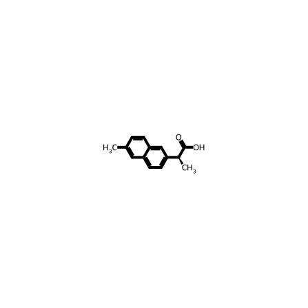 Cc1ccc2cc([C@H](C)C(=O)O)ccc2c1